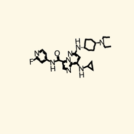 CCN(CC)[C@H]1CC[C@H](Nc2cc(NC3CC3)c3ncc(C(=O)Nc4ccnc(F)c4)n3n2)CC1